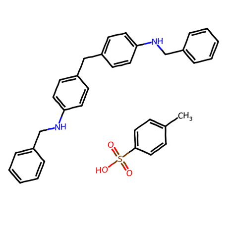 Cc1ccc(S(=O)(=O)O)cc1.c1ccc(CNc2ccc(Cc3ccc(NCc4ccccc4)cc3)cc2)cc1